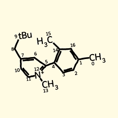 Cc1ccc(-c2cc(CC(C)(C)C)cc[n+]2C)c(C)c1